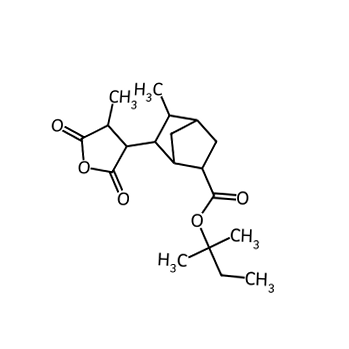 CCC(C)(C)OC(=O)C1CC2CC1C(C1C(=O)OC(=O)C1C)C2C